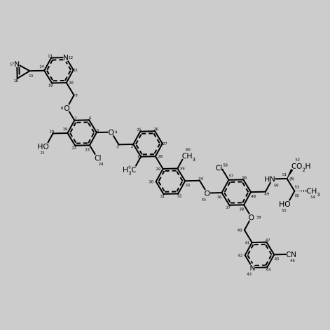 Cc1c(COc2cc(OCc3cncc(C4C=N4)c3)c(CO)cc2Cl)cccc1-c1cccc(COc2cc(OCc3cncc(C#N)c3)c(CN[C@@H](C(=O)O)[C@H](C)O)cc2Cl)c1C